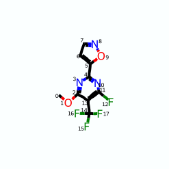 COc1nc(-c2ccno2)nc(F)c1C(F)(F)F